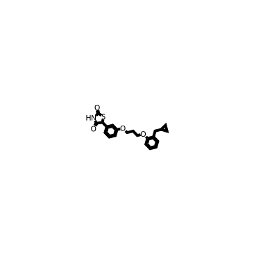 O=C1NC(=O)C(c2cccc(OCCCOc3ccccc3CC3CC3)c2)S1